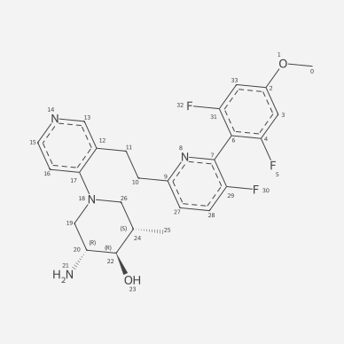 COc1cc(F)c(-c2nc(CCc3cnccc3N3C[C@@H](N)[C@H](O)[C@@H](C)C3)ccc2F)c(F)c1